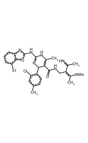 CCc1cccc2nc(NC3=NC(c4ccc(C)cc4Cl)C(C(=O)NC/C(C(C)=N)=C(\C)NC)=C(C)N3)oc12